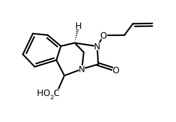 C=CCON1C(=O)N2C[C@H]1c1ccccc1C2C(=O)O